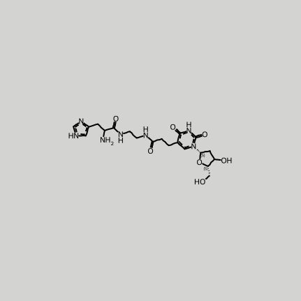 NC(Cc1c[nH]cn1)C(=O)NCCNC(=O)CCc1cn([C@@H]2CC(O)[C@H](CO)O2)c(=O)[nH]c1=O